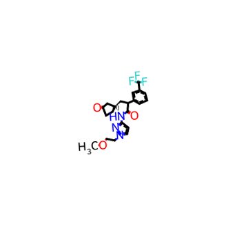 COCCn1ccc(NC(=O)C(C[C@H]2CCC(=O)C2)c2cccc(C(F)(F)F)c2)n1